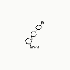 CCCCC[C@H]1CCC[C@@H](C2CCC([C@H]3CC[C@H](CC)CC3)CC2)C1